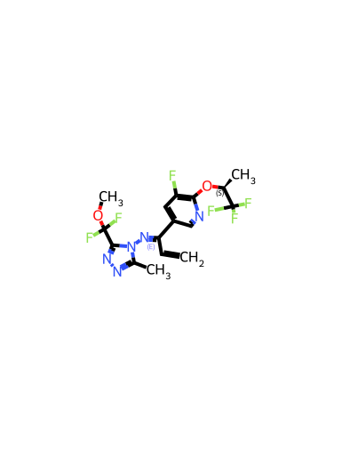 C=C/C(=N\n1c(C)nnc1C(F)(F)OC)c1cnc(O[C@@H](C)C(F)(F)F)c(F)c1